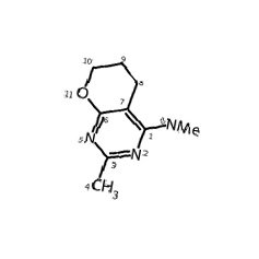 CNc1nc(C)nc2c1CCCO2